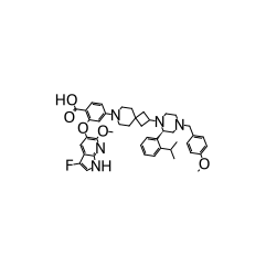 COc1ccc(CN2CCN(C3CC4(CCN(c5ccc(C(=O)O)c(Oc6cc7c(F)c[nH]c7nc6OC)c5)CC4)C3)[C@H](c3ccccc3C(C)C)C2)cc1